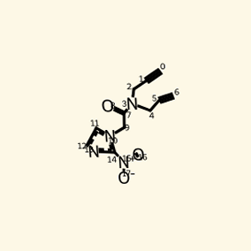 C#CCN(CC#C)C(=O)Cn1ccnc1[N+](=O)[O-]